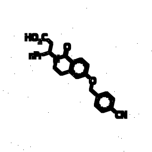 CCCC(CC(=O)O)N1CCc2cc(OCc3ccc(C#N)cc3)ccc2C1=O